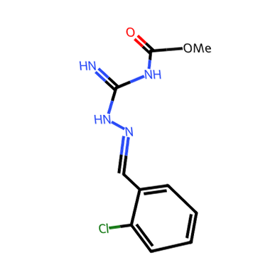 COC(=O)NC(=N)N/N=C/c1ccccc1Cl